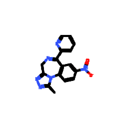 Cc1nnc2n1-c1ccc([N+](=O)[O-])cc1C(c1ccccn1)=NC2